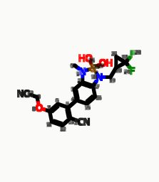 CN1c2cc(-c3cc(OCC#N)ccc3C#N)ccc2N(CC2CC2(F)F)S1(O)O